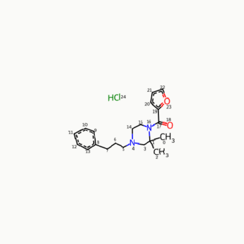 CC1(C)CN(CCCc2ccccc2)CCN1C(=O)c1ccco1.Cl